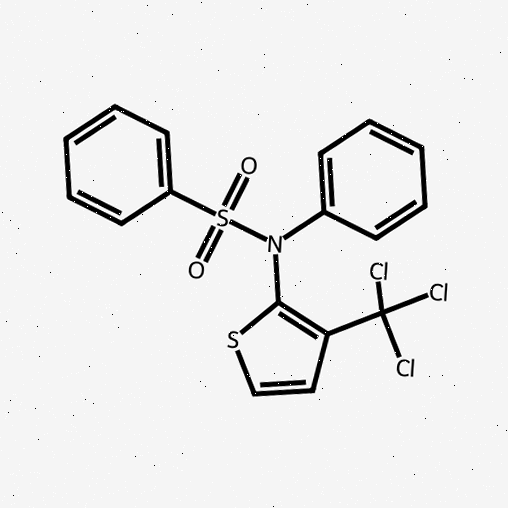 O=S(=O)(c1ccccc1)N(c1ccccc1)c1sccc1C(Cl)(Cl)Cl